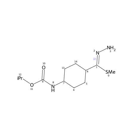 CS/C(=N\N)C1CCC(NC(=O)OC(C)C)CC1